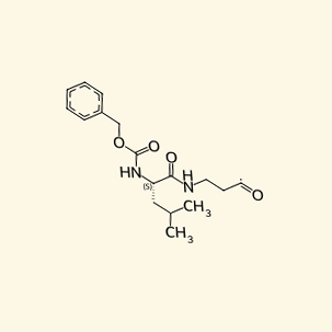 CC(C)C[C@H](NC(=O)OCc1ccccc1)C(=O)NCC[C]=O